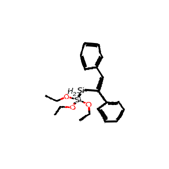 CCO[Si](OCC)(OCC)[SiH2]C(=Cc1ccccc1)c1ccccc1